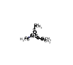 COC(=O)/C=C/c1ccnc(N(Cc2ccc(-c3ccc(N(C)C)nc3)cc2)C(=O)C2CCC(OCCN(C)C)CC2)n1